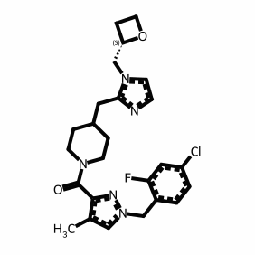 Cc1cn(Cc2ccc(Cl)cc2F)nc1C(=O)N1CCC(Cc2nccn2C[C@@H]2CCO2)CC1